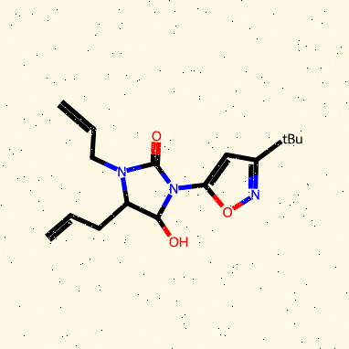 C=CCC1C(O)N(c2cc(C(C)(C)C)no2)C(=O)N1CC=C